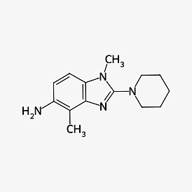 Cc1c(N)ccc2c1nc(N1CCCCC1)n2C